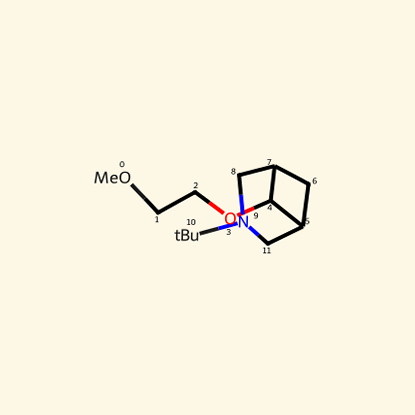 COCCOC1C2CC1CN(C(C)(C)C)C2